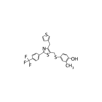 Cc1cc(SCc2sc(-c3ccc(C(F)(F)F)cc3)nc2Cc2ccsc2)ccc1O